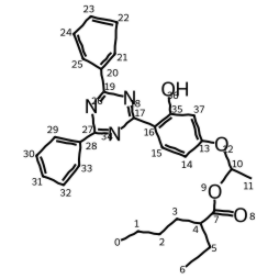 CCCCC(CC)C(=O)OC(C)Oc1ccc(-c2nc(-c3ccccc3)nc(-c3ccccc3)n2)c(O)c1